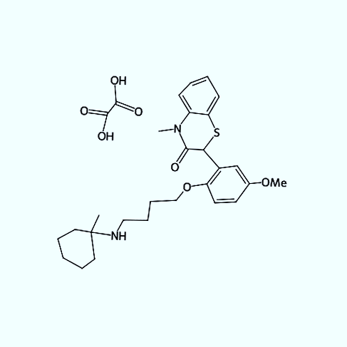 COc1ccc(OCCCCNC2(C)CCCCC2)c(C2Sc3ccccc3N(C)C2=O)c1.O=C(O)C(=O)O